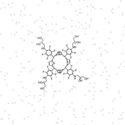 OC[C@@H](O)CNc1c(F)c(F)c(-c2c3nc(c(-c4c(F)c(F)c(NC[C@H](O)CO)c(F)c4F)c4ccc([nH]4)c(-c4c(F)c(F)c(NC[C@H](O)CO)c(F)c4F)c4nc(c(-c5c(F)c(F)c(NC[C@H](O)CO)c(F)c5F)c5ccc2[nH]5)C=C4)C=C3)c(F)c1F